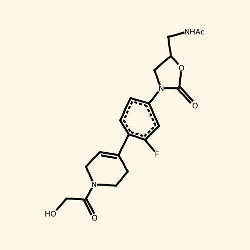 CC(=O)NCC1CN(c2ccc(C3=CCN(C(=O)CO)CC3)c(F)c2)C(=O)O1